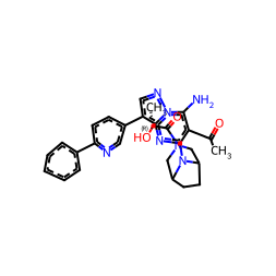 CC(=O)c1c(N2C3CCC2CN(C(=O)[C@@H](C)O)C3)nc2c(-c3ccc(-c4ccccc4)nc3)cnn2c1N